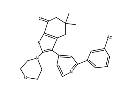 CC(=O)c1cccc(-c2cc(-c3c(N4CCOCC4)sc4c3CC(C)(C)CC4=O)ccn2)c1